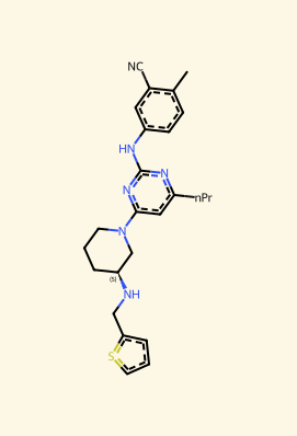 CCCc1cc(N2CCC[C@H](NCc3cccs3)C2)nc(Nc2ccc(C)c(C#N)c2)n1